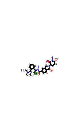 CN(C)Cc1ccccc1C(NC(=O)c1ccc2c(c1)CN(C1CCC(=O)NC1=O)C2=O)C(F)(F)F